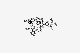 Cc1cccc2c1c1ccccc1n2-c1cccc(-c2cc(-c3ccc(C(C)(C)C)cc3)c3ccc4ccc(-c5ccc(C(C)(C)C)cc5)c5ccc2c3c45)c1